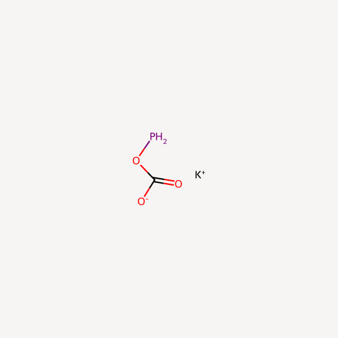 O=C([O-])OP.[K+]